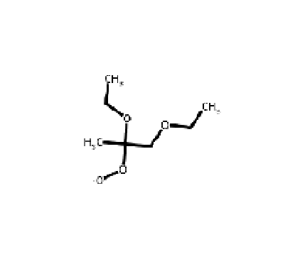 CCOCC(C)(O[O])OCC